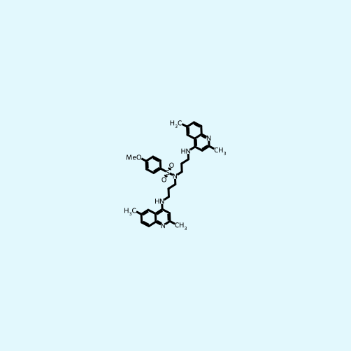 COc1ccc(S(=O)(=O)N(CCCNc2cc(C)nc3ccc(C)cc23)CCCNc2cc(C)nc3ccc(C)cc23)cc1